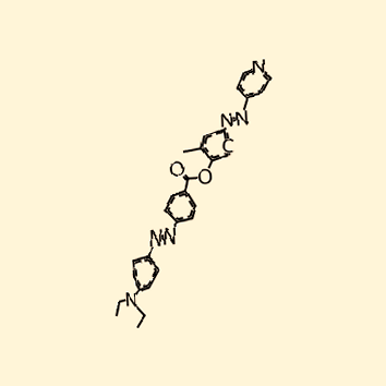 CCN(CC)c1ccc(N=Nc2ccc(C(=O)Oc3ccc(N=Nc4ccncc4)cc3C)cc2)cc1